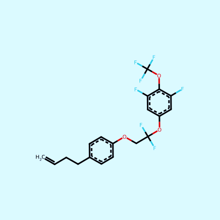 C=CCCc1ccc(OCC(F)(F)Oc2cc(F)c(OC(F)(F)F)c(F)c2)cc1